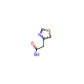 [NH]C(=O)Cc1cscn1